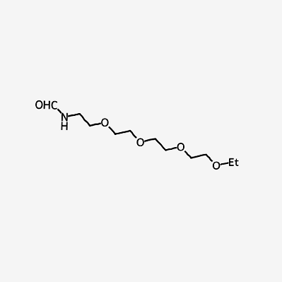 CCOCCOCCOCCOCCNC=O